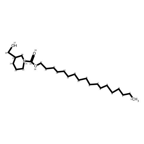 CCCCCCCCCCCCCCCCCCOC(=O)N1CCCC(CO)C1